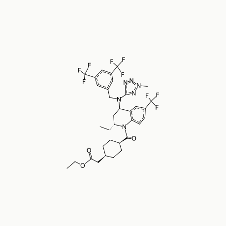 CCOC(=O)C[C@H]1CC[C@@H](C(=O)N2c3ccc(C(F)(F)F)cc3C(N(Cc3cc(C(F)(F)F)cc(C(F)(F)F)c3)c3nnn(C)n3)C[C@H]2CC)CC1